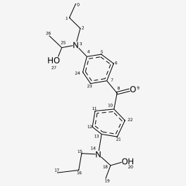 CCCN(c1ccc(C(=O)c2ccc(N(CCC)C(C)O)cc2)cc1)C(C)O